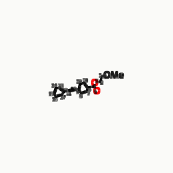 COCCOC(=O)c1ccc(C#Cc2ccccc2)cc1